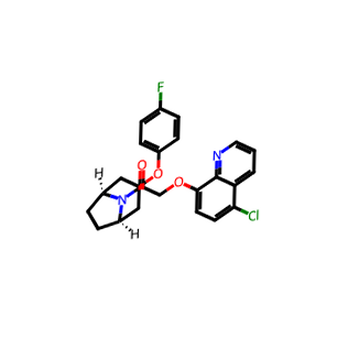 O=C(COc1ccc(Cl)c2cccnc12)N1[C@@H]2CC[C@H]1CC(Oc1ccc(F)cc1)C2